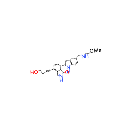 COCCNCc1ccc2[nH]c(-c3ccc(C#CCCO)c4c3C(=O)NC4)cc2c1